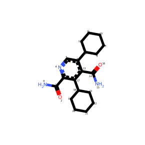 NC(=O)c1ncc(C2CCCCC2)c(C(N)=O)c1C1CCCCC1